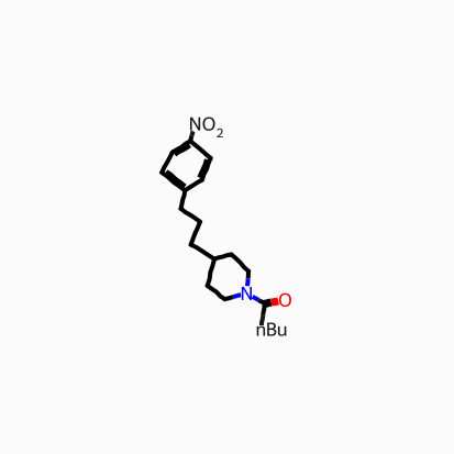 CCCCC(=O)N1CCC(CCCc2ccc([N+](=O)[O-])cc2)CC1